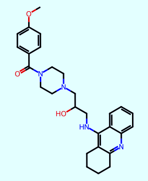 COc1ccc(C(=O)N2CCN(CC(O)CNc3c4c(nc5ccccc35)CCCC4)CC2)cc1